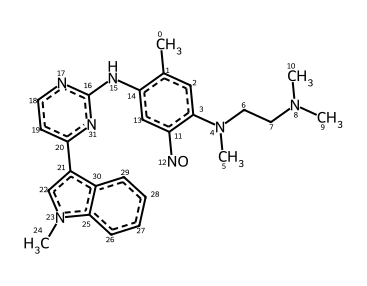 Cc1cc(N(C)CCN(C)C)c(N=O)cc1Nc1nccc(-c2cn(C)c3ccccc23)n1